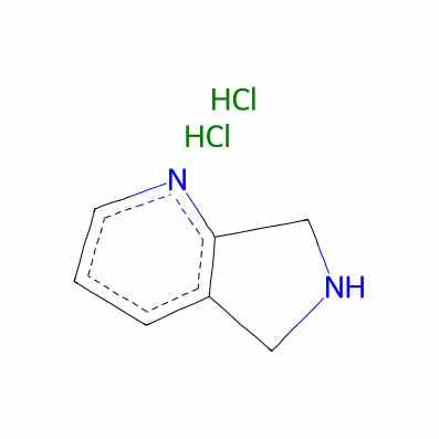 Cl.Cl.c1cnc2c(c1)CNC2